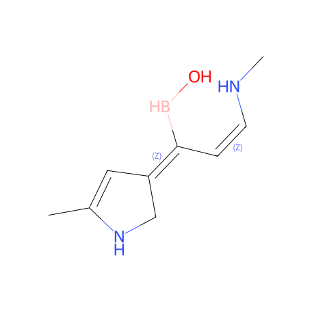 CN/C=C\C(BO)=C1\C=C(C)NC1